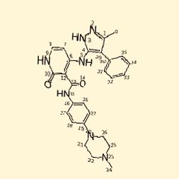 Cc1n[nH]c(Nc2cc[nH]c(=O)c2C(=O)Nc2ccc(N3CCN(C)CC3)cc2)c1-c1ccccc1